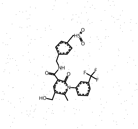 Cc1c(CO)cc(C(=O)NCc2ccc(C[SH](=O)=O)cc2)c(=O)n1-c1cccc(C(F)(F)F)c1